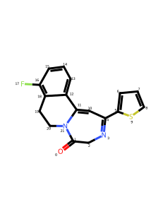 O=C1CN=C(c2cccs2)C=C2c3cccc(F)c3CCN12